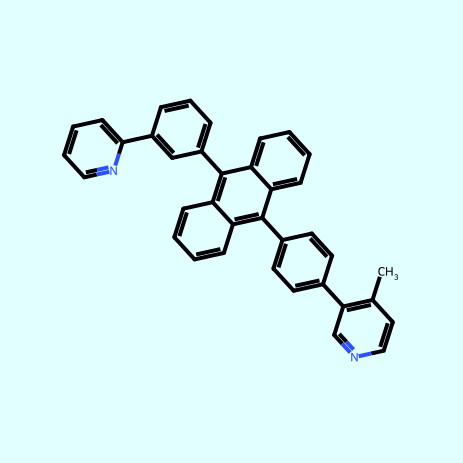 Cc1ccncc1-c1ccc(-c2c3ccccc3c(-c3cccc(-c4ccccn4)c3)c3ccccc23)cc1